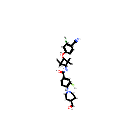 CC1(C)C(NC(=O)c2ccc(N3CCC(C=O)CC3)c(F)c2)C(C)(C)C1Oc1ccc(C#N)c(Cl)c1